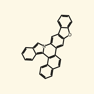 c1ccc2c(c1)ccc1c3cc4oc5ccccc5c4cc3n3cc4ccccc4c3c21